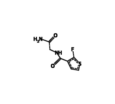 NC(=O)CNC(=O)c1ccsc1F